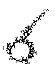 COCCOCCOCCOCCNC(=S)O[C@@H]1CCC(C[C@@H](N)[C@@H]2C[C@@H](O)[C@H](C)/C=C(\C)[C@@H](O)[C@@H](O)C(=O)[C@H](C)C[C@H](C)/C=C/C=C/C=C(\C)[C@@H](OC)C[C@@H]3CC[C@@H](C)[C@@](O)(O3)C(=O)C(=O)N3CCCC[C@H]3C(=O)O2)C[C@H]1OC